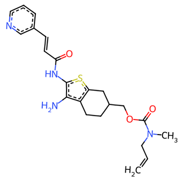 C=CCN(C)C(=O)OCC1CCc2c(sc(NC(=O)/C=C/c3cccnc3)c2N)C1